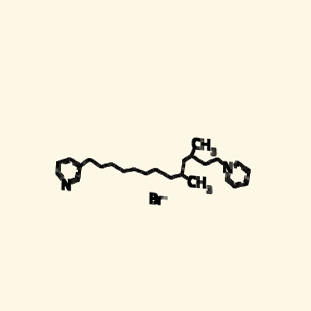 CC(CCCCCCCCc1cccnc1)CC(C)CC[n+]1ccccc1.[Br-]